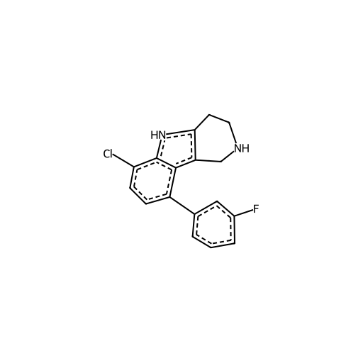 Fc1cccc(-c2ccc(Cl)c3[nH]c4c(c23)CNCC4)c1